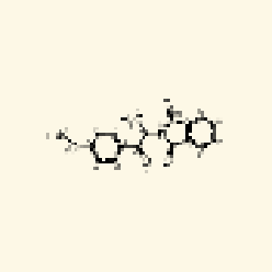 CCCCOc1ccc(C(=O)C(C)N2C(=O)c3ccccc3C2=O)cc1